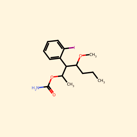 CCCC(OC)C(c1ccccc1I)C(C)OC(N)=O